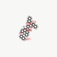 C=C(c1ccc2c(C3c4c(ccc5ccc(O)cc45)Oc4ccc5ccc(O)cc5c43)cccc2c1)c1c(/C=C\C)cc(O)c2c1Oc1c(c(O)cc3ccccc13)C2c1ccc2ccccc2c1